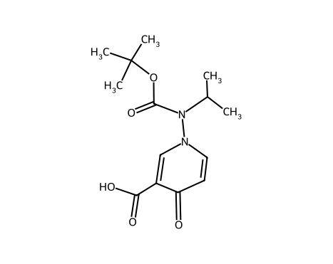 CC(C)N(C(=O)OC(C)(C)C)n1ccc(=O)c(C(=O)O)c1